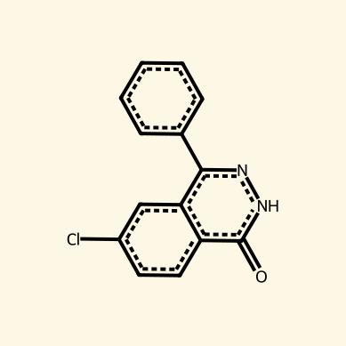 O=c1[nH]nc(-c2ccccc2)c2cc(Cl)ccc12